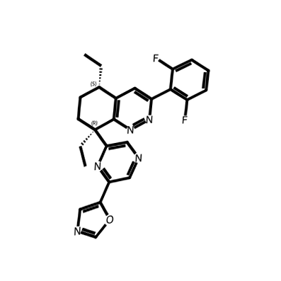 CC[C@H]1CC[C@](CC)(c2cncc(-c3cnco3)n2)c2nnc(-c3c(F)cccc3F)cc21